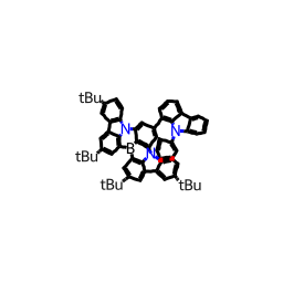 CC(C)(C)c1ccc2c(c1)c1cc(C(C)(C)C)cc3c1n2-c1cc(-c2cccc4c5ccccc5n(-c5ccccc5)c24)cc2c1B3c1cc(C(C)(C)C)cc3c4cc(C(C)(C)C)ccc4n-2c13